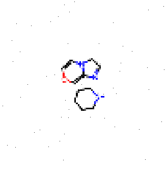 C1=CN2CC=NC2=CO1.C1CCNCC1